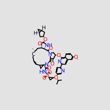 COc1ccc2c(O[C@@H]3C[C@H]4C(=O)N[C@]5(C(=O)NS(=O)(=O)C6CC6)CC5/C=C\CC[C@H](C)C[C@@H](C)[C@H](NC(=O)OC5C[C@@H]6C[C@@H]6C5)C(=O)N4C3)nc(-c3ccc(OC(C)C)cn3)cc2c1